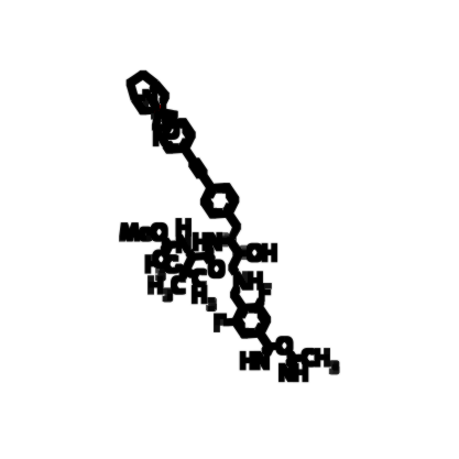 COC(=O)NC(C(=O)N[C@@H](Cc1ccc(C#Cc2ccc(N3CC4CCC(C3)N4C3COC3)nc2)cc1)[C@@H](O)CNCc1c(F)cc(C(=N)OC(C)=N)cc1F)C(C)(C)C(F)(F)F